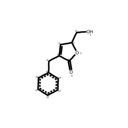 O=C1OC(CO)C=C1Cc1ccccc1